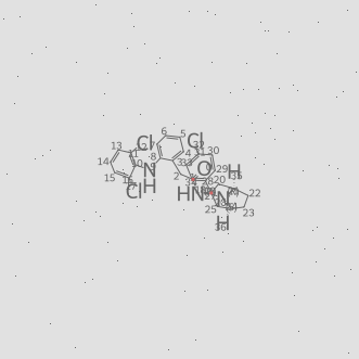 O=C(Cc1ccccc1Nc1c(Cl)cccc1Cl)N[C@H]1C[C@H]2CC[C@@H](C1)N2Cc1ccc(Cl)cc1